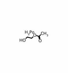 CC(=O)OCCO.[PoH2]